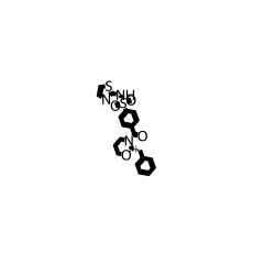 O=C(c1ccc(S(=O)(=O)Nc2nccs2)cc1)N1CCCO[C@H]1Cc1ccccc1